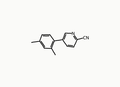 Cc1ccc(-c2ccc(C#N)nc2)c(C)c1